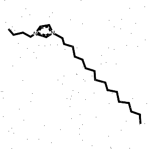 CCCCCCCCCCCCCCCCn1cc[n+](CCCC)c1